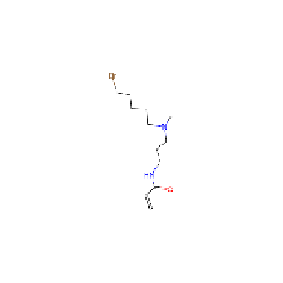 C=CC(=O)NCCCN(C)CCCCCBr